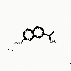 COc1ccc2ccc(C(C)C=O)cc2c1